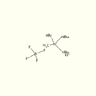 CCCC[N+](C)(CCCC)CCCC.F[B-](F)(F)F.[H+]